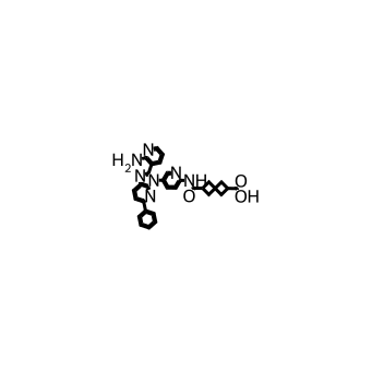 Nc1ncccc1-c1nc2ccc(-c3ccccc3)nc2n1-c1ccc(NC(=O)C2CC3(CC(C(=O)O)C3)C2)nc1